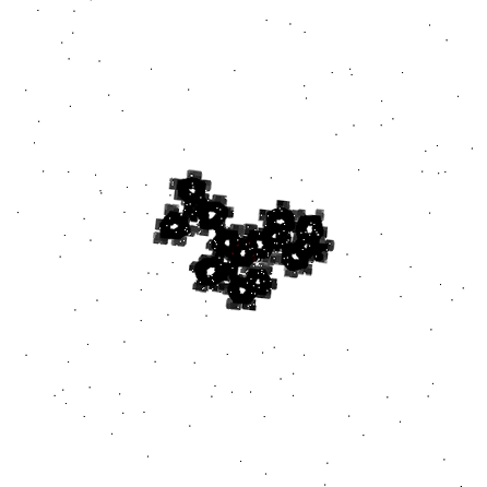 CC1(C)c2ccccc2-c2c(-n3c4ccccc4c4cc(-c5cc(-c6ccc7c8ccccc8n(-c8ccccc8)c7c6)cc(-c6ccccc6N(c6ccccc6)c6cccc7ccccc67)c5)ccc43)cccc21